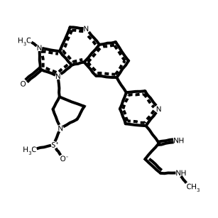 CN/C=C\C(=N)c1ccc(-c2ccc3ncc4c(c3c2)n(C2CCN([S+](C)[O-])C2)c(=O)n4C)cn1